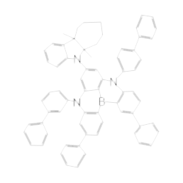 CC12CCCCCC1(C)N(c1cc3c4c(c1)N(c1cccc(-c5ccccc5)c1)c1cc(-c5ccccc5)ccc1B4c1cc(-c4ccccc4)ccc1N3c1ccc(-c3ccccc3)cc1)c1ccccc12